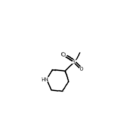 CS(=O)(=O)C1C[CH]CNC1